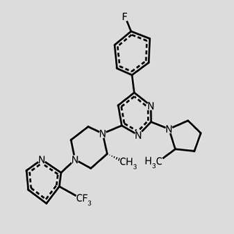 CC1CCCN1c1nc(-c2ccc(F)cc2)cc(N2CCN(c3ncccc3C(F)(F)F)C[C@H]2C)n1